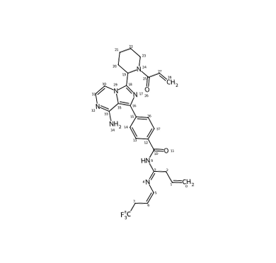 C=CC/C(=N\C=C/CC(F)(F)F)NC(=O)c1ccc(-c2nc(C3CCCCN3C(=O)C=C)n3ccnc(N)c23)cc1